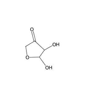 O=C1COC(O)C1O